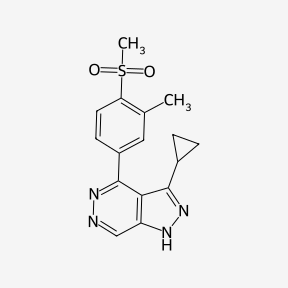 Cc1cc(-c2nncc3[nH]nc(C4CC4)c23)ccc1S(C)(=O)=O